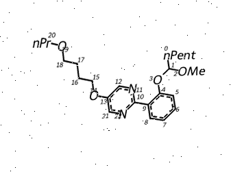 CCCCCC(OC)Oc1ccccc1-c1ncc(OCCCCOCCC)cn1